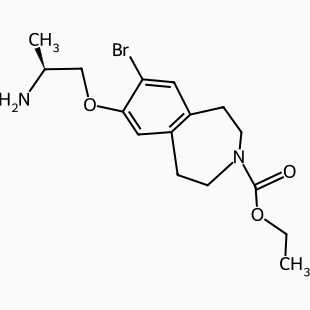 CCOC(=O)N1CCc2cc(Br)c(OC[C@H](C)N)cc2CC1